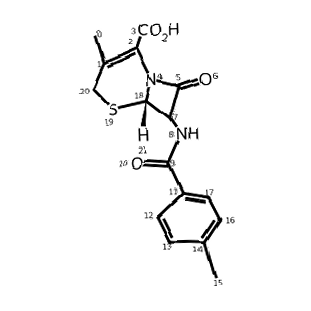 CC1=C(C(=O)O)N2C(=O)C(NC(=O)c3ccc(C)cc3)[C@@H]2SC1